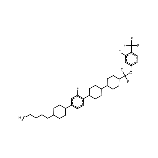 CCCCCC1CCC(c2ccc(C3CCC(C4CCC(C(F)(F)Oc5ccc(C(F)(F)F)c(F)c5)CC4)CC3)c(F)c2)CC1